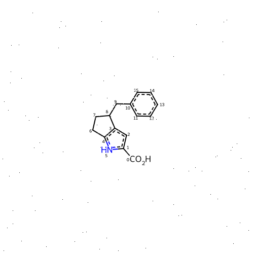 O=C(O)c1cc2c([nH]1)CCC2Cc1ccccc1